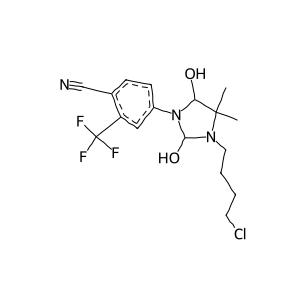 CC1(C)C(O)N(c2ccc(C#N)c(C(F)(F)F)c2)C(O)N1CCCCCl